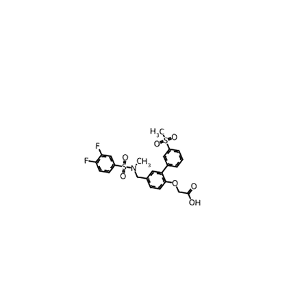 CN(Cc1ccc(OCC(=O)O)c(-c2cccc(S(C)(=O)=O)c2)c1)S(=O)(=O)c1ccc(F)c(F)c1